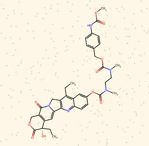 CCc1c2c(nc3ccc(OC(=O)N(C)CCN(C)C(=O)OCc4ccc(NC(=O)OC)cc4)cc13)-c1cc3c(c(=O)n1C2)COC(=O)[C@]3(O)CC